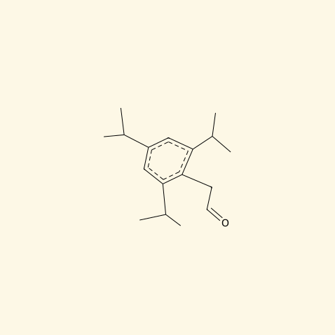 CC(C)c1cc(C(C)C)c(CC=O)c(C(C)C)c1